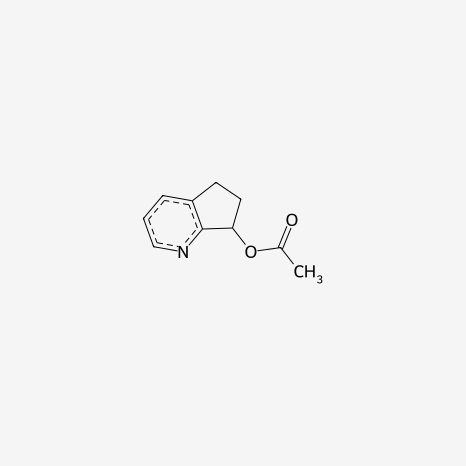 CC(=O)OC1CCc2cccnc21